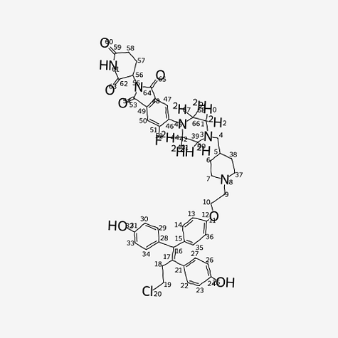 [2H]C1([2H])N(CC2CCN(CCOc3ccc(C(=C(CCCl)c4ccc(O)cc4)c4ccc(O)cc4)cc3)CC2)C([2H])([2H])C([2H])([2H])N(c2cc3c(cc2F)C(=O)N(C2CCC(=O)NC2=O)C3=O)C1([2H])[2H]